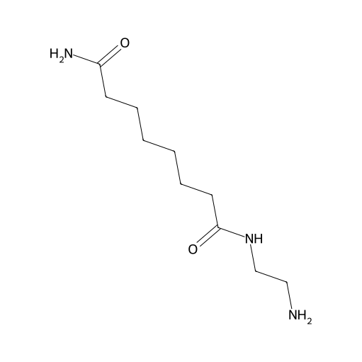 NCCNC(=O)CCCCCCC(N)=O